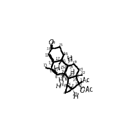 CC(=O)O[C@]1(C(C)=O)[C@H]2C[C@H]2[C@H]2[C@@H]3C=C(C)C4=CC(=O)CC[C@@H]4[C@H]3CC[C@@]21C